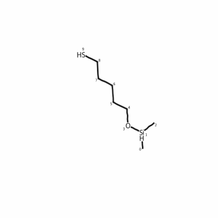 C[SiH](C)OCCCCCS